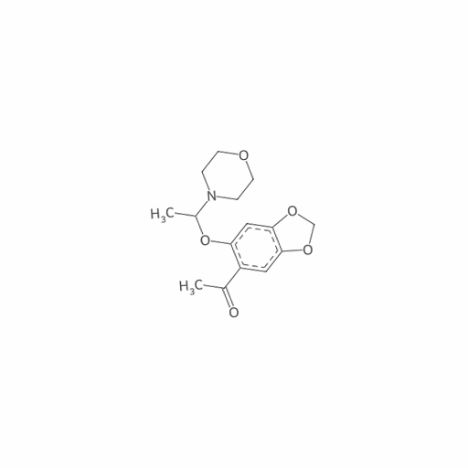 CC(=O)c1cc2c(cc1OC(C)N1CCOCC1)OCO2